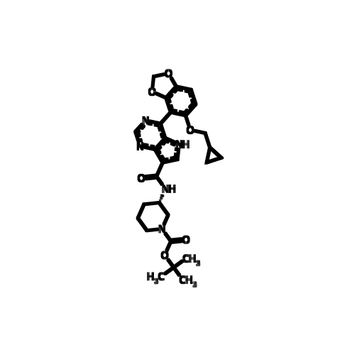 CC(C)(C)OC(=O)N1CCC[C@H](NC(=O)c2c[nH]c3c(-c4c(OCC5CC5)ccc5c4OCO5)ncnc23)C1